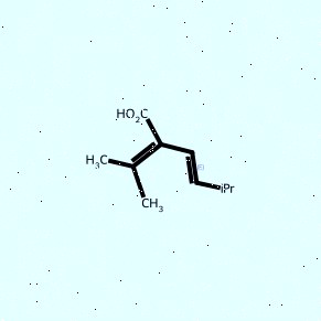 CC(C)=C(/C=C/C(C)C)C(=O)O